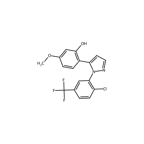 COc1ccc(-c2ccnn2-c2cc(C(F)(F)F)ccc2Cl)c(O)c1